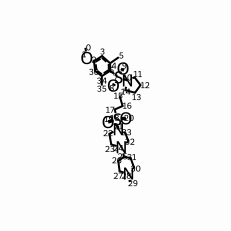 COc1cc(C)c(S(=O)(=O)N2CCC[C@@H]2CCCS(=O)(=O)N2CCN(C3CCN(C)CC3)CC2)c(C)c1